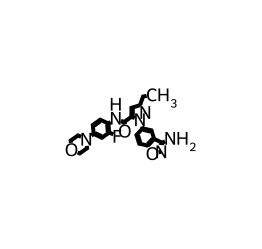 CCc1cc(C(=O)Nc2ccc(N3CCOCC3)cc2F)n(-c2ccc3onc(N)c3c2)n1